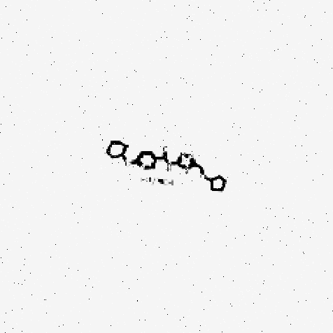 O=C(Nc1nnc(COC2CCCC2)s1)c1ccc(OC2CCCCC2)nc1.O=C(O)O